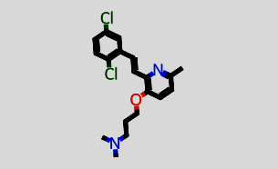 Cc1ccc(OCCCN(C)C)c(C=Cc2cc(Cl)ccc2Cl)n1